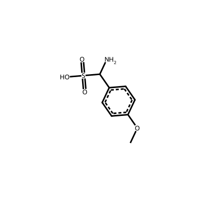 COc1ccc(C(N)S(=O)(=O)O)cc1